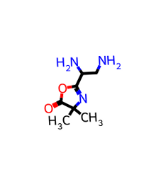 CC1(C)N=C(C(N)CN)OC1=O